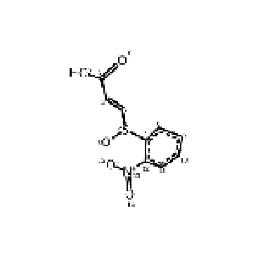 O=C(O)/C=C/[S+]([O-])c1ccccc1[N+](=O)[O-]